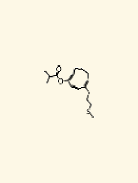 CSCCCC1=C/CCC/C=C(OC(=O)C(C)C)/C=C\1